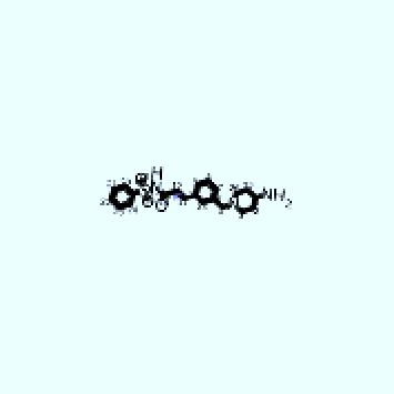 NC1CCN(Cc2cccc(/C=C/C(=O)NS(=O)(=O)c3ccccc3)c2)CC1